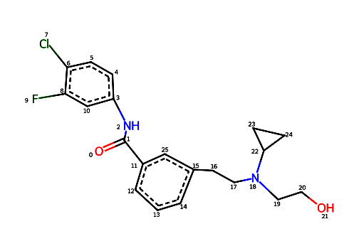 O=C(Nc1ccc(Cl)c(F)c1)c1cccc(CCN(CCO)C2CC2)c1